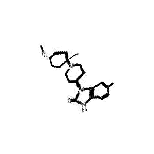 CO[C@H]1CC[C@@](C)(N2CCC(n3c(=O)[nH]c4ccc(C)cc43)CC2)CC1